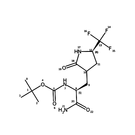 CC(C)(C)OC(=O)N[C@@H](CC1C[C@H](C(F)(F)F)NC1=O)C(N)=O